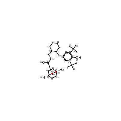 CC(C)(C)c1cc(SC2CCCCC2SCC(=O)N2C[C@H]3CC[C@H](CC3)C2)cc(C(C)(C)C)c1O